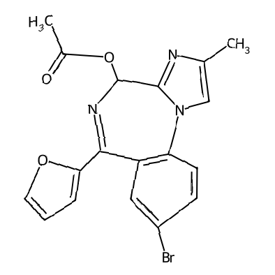 CC(=O)OC1N=C(c2ccco2)c2cc(Br)ccc2-n2cc(C)nc21